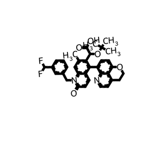 Cc1cc2c(ccc(=O)n2Cc2cccc(C(F)F)c2)c(-c2ccc3c4c(ccnc24)CCO3)c1C(OC(C)(C)C)C(=O)O